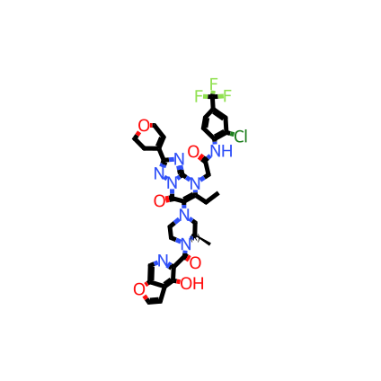 CCc1c(N2CCN(C(=O)c3ncc4occc4c3O)[C@H](C)C2)c(=O)n2nc(C3=CCOCC3)nc2n1CC(=O)Nc1ccc(C(F)(F)F)cc1Cl